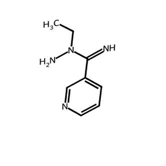 CCN(N)C(=N)c1cccnc1